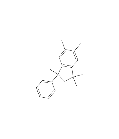 Cc1cc2c(cc1C)C(C)(c1ccccc1)CC2(C)C